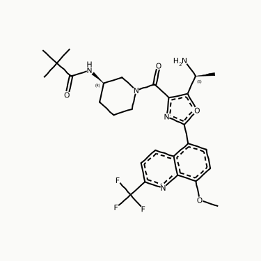 COc1ccc(-c2nc(C(=O)N3CCC[C@@H](NC(=O)C(C)(C)C)C3)c([C@H](C)N)o2)c2ccc(C(F)(F)F)nc12